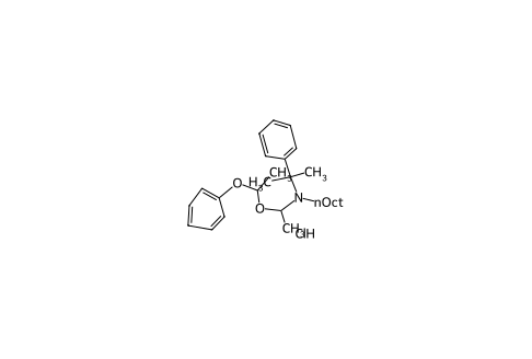 CCCCCCCCN(C(C)OC(C)Oc1ccccc1)C(C)(C)c1ccccc1.Cl